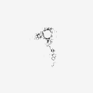 COCC[S+]([O-])c1ccc([C@@H](OC)[C@@H](CF)n2cc(CCN(C)[C@H]3C[C@@H](C)O[C@@H](O[C@@H]4[C@@H](C)[C@H](O[C@H]5C[C@@](C)(OC)[C@@H](O)[C@H](C)O5)[C@@H](C)C(=O)O[C@H](I)[C@@](C)(O)[C@H](O)[C@@H](C)N(C)C[C@H](C)C[C@@]4(C)O)[C@@H]3O)nn2)cc1